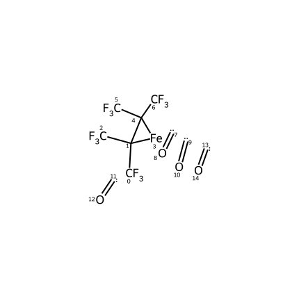 FC(F)(F)[C]1(C(F)(F)F)[Fe][C]1(C(F)(F)F)C(F)(F)F.[C]=O.[C]=O.[C]=O.[C]=O